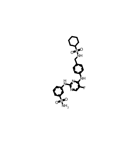 NS(=O)(=O)c1cccc(Nc2ncc(F)c(Nc3ccc(CNS(=O)(=O)C4CCCCC4)cc3)n2)c1